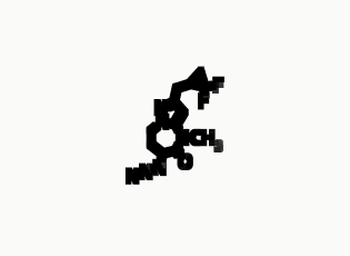 CN1C(=O)C(N=[N+]=[N-])CCn2nc(CC3CC3(F)F)cc21